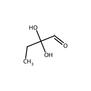 CCC(O)(O)[C]=O